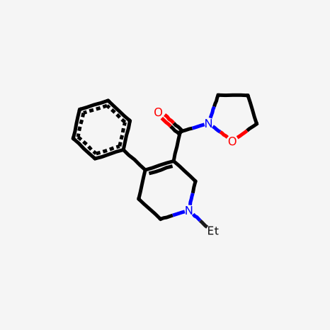 CCN1CCC(c2ccccc2)=C(C(=O)N2CCCO2)C1